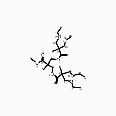 C=C(OCC(C)(COC(=C)C(C)(COCC)COCC)C(=O)OC)C(C)(COC)COCC